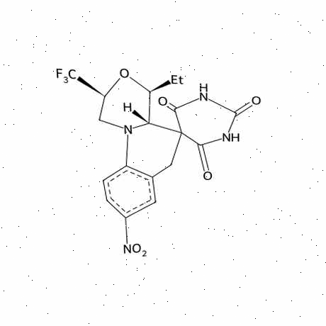 CC[C@@H]1O[C@H](C(F)(F)F)CN2c3ccc([N+](=O)[O-])cc3CC3(C(=O)NC(=O)NC3=O)[C@@H]12